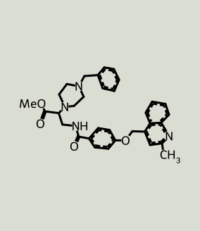 COC(=O)C(CNC(=O)c1ccc(OCc2cc(C)nc3ccccc23)cc1)N1CCN(Cc2ccccc2)CC1